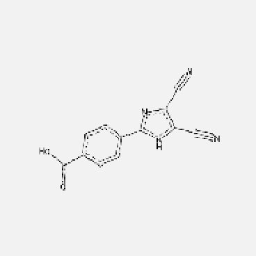 N#Cc1nc(-c2ccc(C(=O)O)cc2)[nH]c1C#N